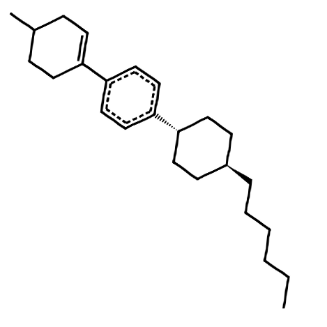 CCCCCC[C@H]1CC[C@H](c2ccc(C3=CCC(C)CC3)cc2)CC1